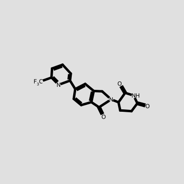 O=C1CCC(N2Cc3cc(-c4cccc(C(F)(F)F)n4)ccc3C2=O)C(=O)N1